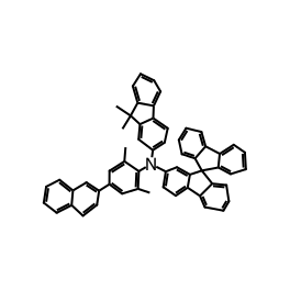 Cc1cc(-c2ccc3ccccc3c2)cc(C)c1N(c1ccc2c(c1)C(C)(C)c1ccccc1-2)c1ccc2c(c1)C1(c3ccccc3-c3ccccc31)c1ccccc1-2